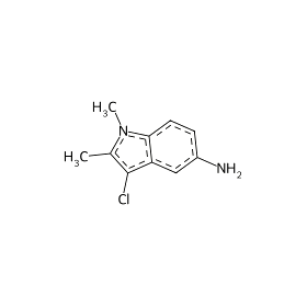 Cc1c(Cl)c2cc(N)ccc2n1C